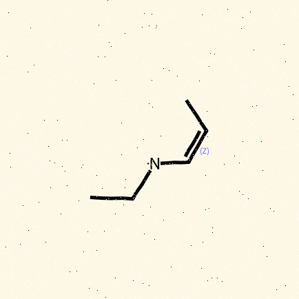 C/C=C\[N]CC